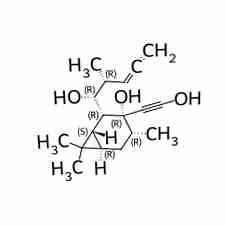 C=C=C[C@@H](C)[C@@H](O)[C@H]1[C@@H]2[C@@H](C[C@@H](C)[C@]1(O)C#CO)C2(C)C